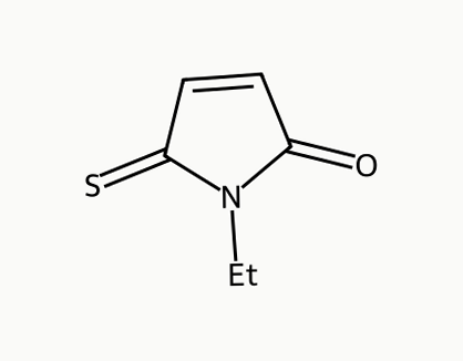 CCN1C(=O)C=CC1=S